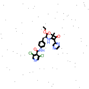 CCOC(=O)[C@H](Cc1ccc(NC(=O)c2c(Cl)cncc2Cl)cc1)NC1=C(c2cnccn2)C(=O)C1(C)C